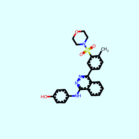 Cc1ccc(-c2nnc(Nc3ccc(O)cc3)c3ccccc23)cc1S(=O)(=O)N1CCOCC1